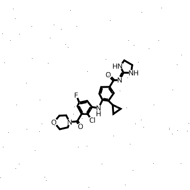 O=C(N=C1NCCN1)c1ccc(Nc2cc(F)cc(C(=O)N3CCOCC3)c2Cl)c(C2CC2)c1